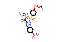 CNC(=O)[C@H](Cc1ccc([N+](=O)[O-])cc1)NS(=O)(=O)c1ccc(OC)cc1